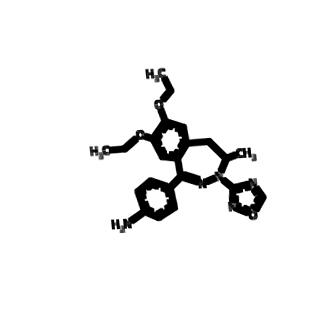 CCOc1cc2c(cc1OCC)C(c1ccc(N)cc1)=NN(c1ncon1)C(C)C2